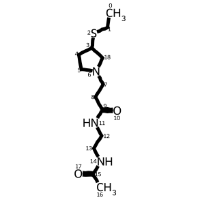 CCSC1CCN(CCC(=O)NCCNC(C)=O)C1